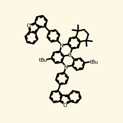 CC(C)(C)c1ccc2c(c1)B1c3cc4c(cc3N(c3ccc(-c5cccc6oc7ccccc7c56)cc3)c3cc(C(C)(C)C)cc(c31)N2c1ccc(-c2cccc3oc5ccccc5c23)cc1)C(C)(C)CCC4(C)C